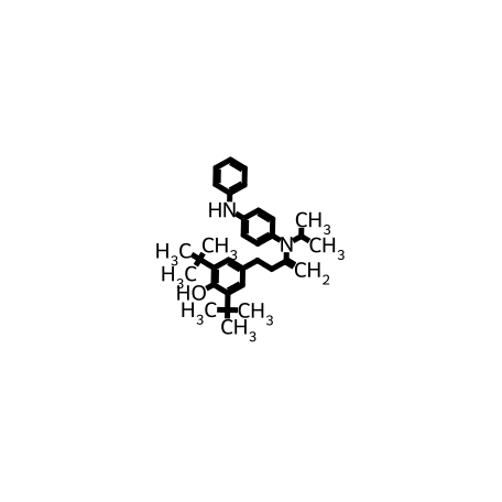 C=C(CCc1cc(C(C)(C)C)c(O)c(C(C)(C)C)c1)N(c1ccc(Nc2ccccc2)cc1)C(C)C